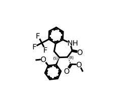 COC(=O)[C@H]1C(=O)Nc2cccc(C(F)(F)F)c2C[C@@H]1c1ccccc1OC